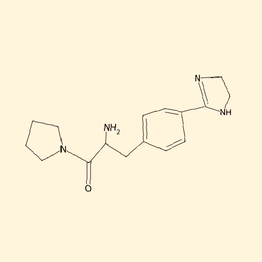 NC(Cc1ccc(C2=NCCN2)cc1)C(=O)N1CCCC1